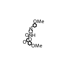 COc1cccc(CN2CCC(NC(=O)c3cc(=O)c4ccc(OC)cc4o3)CC2)c1